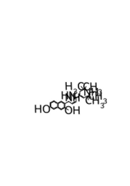 CC1(C)C=C(C(=N)/C=C\C(=N)c2cc3ccc(O)cc3cc2O)CC(C)(C)N1